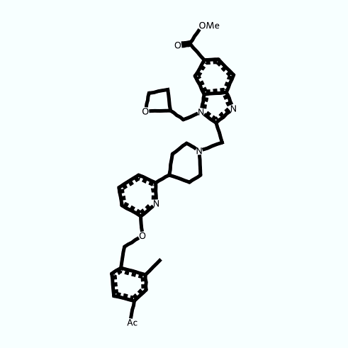 COC(=O)c1ccc2nc(CN3CCC(c4cccc(OCc5ccc(C(C)=O)cc5C)n4)CC3)n(CC3CCO3)c2c1